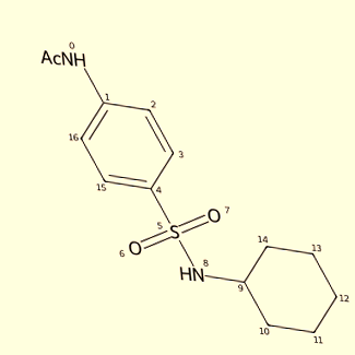 CC(=O)Nc1ccc(S(=O)(=O)NC2CCCCC2)cc1